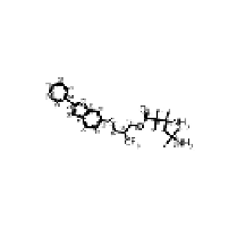 CC(C)(N)CC(C)(N)C(C)(C)C(=O)OCC(CSc1ccc2cc(-c3cccnc3)oc2c1)C(F)(F)F